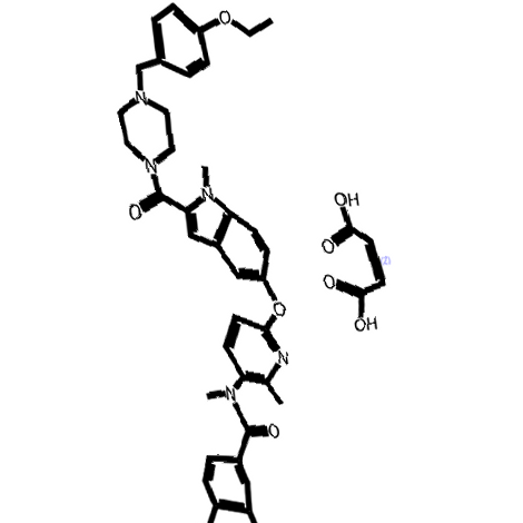 CCOc1ccc(CN2CCN(C(=O)c3cc4cc(Oc5ccc(N(C)C(=O)c6ccc(Cl)c(Cl)c6)c(C)n5)ccc4n3C)CC2)cc1.O=C(O)/C=C\C(=O)O